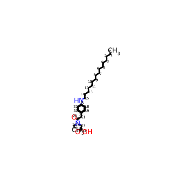 CCCCCCCCCCCCCCCCNc1ccc(CC(=O)N(CC)CC(=O)O)cc1